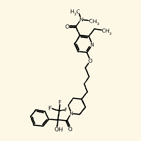 CCc1nc(OCCCCC2CCN(C(=O)C(O)(c3ccccc3)C(F)(F)F)CC2)ccc1C(=O)N(C)C